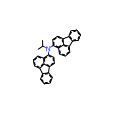 CC(C)N(c1ccc2c3c(cccc13)-c1ccccc1-2)c1ccc2c3c(cccc13)-c1ccccc1-2